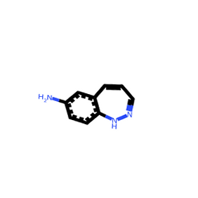 Nc1ccc2c(c1)C=CC=NN2